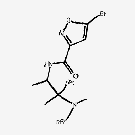 CCCN(C)C(C)(CCC)C(C)NC(=O)c1cc(CC)on1